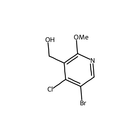 COc1ncc(Br)c(Cl)c1CO